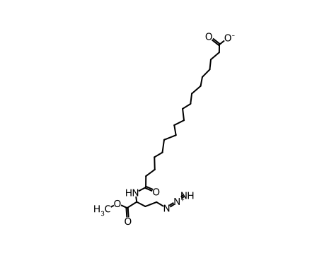 COC(=O)C(CCN=[N+]=N)NC(=O)CCCCCCCCCCCCCCCCC(=O)[O-]